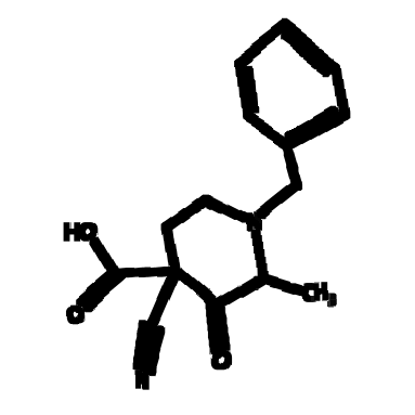 CC1C(=O)C(C#N)(C(=O)O)CCN1Cc1ccccc1